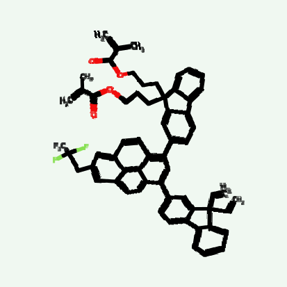 C=CC1(C=C)c2ccccc2-c2ccc(-c3cc(-c4ccc5c(c4)C(CCCOC(=O)C(=C)C)(CCCOC(=O)C(=C)C)c4ccccc4-5)c4ccc5cc(CC(F)(F)C(F)(F)F)cc6ccc3c4c65)cc21